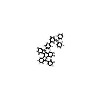 c1ccc(N(c2ccccc2)c2cccc(-c3ccc(-n4c5ccccc5c5c6c7ccccc7n(-c7ccccc7)c6c6ccccc6c54)cc3)c2)cc1